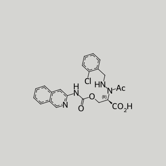 CC(=O)N(NCc1ccccc1Cl)[C@H](COC(=O)Nc1cc2ccccc2cn1)C(=O)O